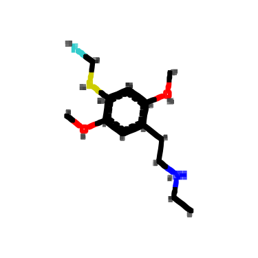 CCNCCc1cc(OC)c(SCF)cc1OC